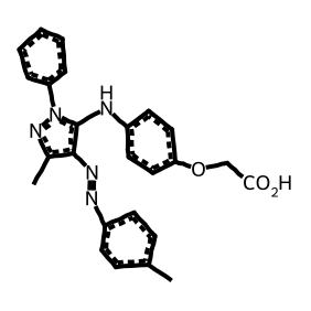 Cc1ccc(N=Nc2c(C)nn(-c3ccccc3)c2Nc2ccc(OCC(=O)O)cc2)cc1